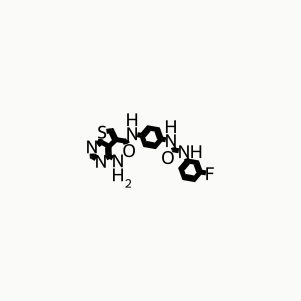 Nc1ncnc2scc(C(=O)Nc3ccc(NC(=O)Nc4cccc(F)c4)cc3)c12